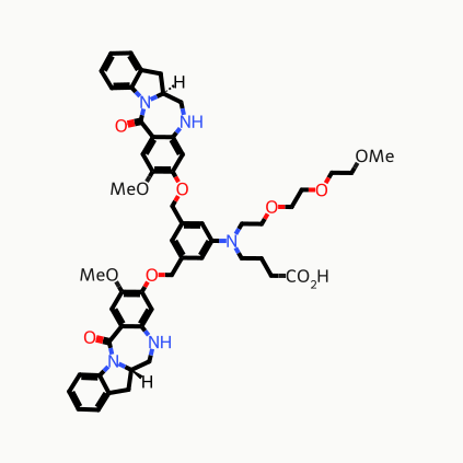 COCCOCCOCCN(CCCC(=O)O)c1cc(COc2cc3c(cc2OC)C(=O)N2c4ccccc4C[C@H]2CN3)cc(COc2cc3c(cc2OC)C(=O)N2c4ccccc4C[C@H]2CN3)c1